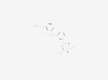 COc1ccc(Oc2c(Cl)cc(-n3nc(Cl)c(=O)[nH]c3=O)cc2Cl)cc1C=O